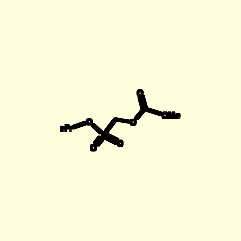 CCCOS(=O)(=O)COC(=O)OC